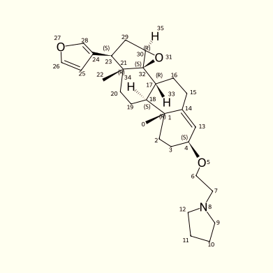 C[C@]12CC[C@H](OCCN3CCCC3)C=C1CC[C@@H]1[C@@H]2CC[C@]2(C)[C@@H](c3ccoc3)C[C@H]3O[C@]132